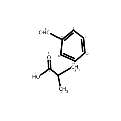 CC(C)C(=O)O.O=Cc1ccccc1